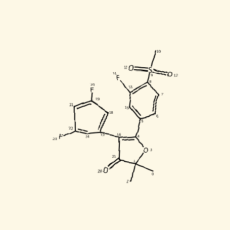 CC1(C)OC(c2ccc(S(C)(=O)=O)c(F)c2)=C(c2cc(F)cc(F)c2)C1=O